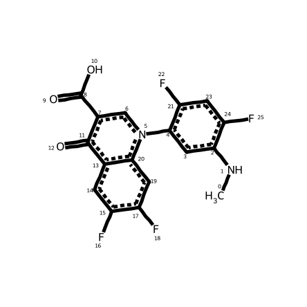 CNc1cc(-n2cc(C(=O)O)c(=O)c3cc(F)c(F)cc32)c(F)cc1F